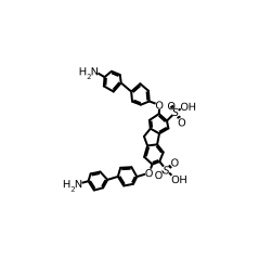 Nc1ccc(-c2ccc(Oc3cc4c(cc3S(=O)(=O)O)-c3cc(S(=O)(=O)O)c(Oc5ccc(-c6ccc(N)cc6)cc5)cc3C4)cc2)cc1